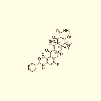 CN(C)[C@@H]1C(O)=C(C(N)=O)C(=O)[C@@]2(O)C(O)=C3C(=O)c4c(O)c(NC(=O)c5ccccc5)cc(F)c4C[C@H]3C[C@@H]12